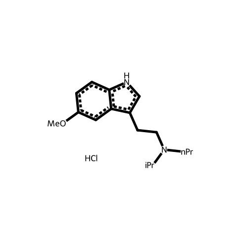 CCCN(CCc1c[nH]c2ccc(OC)cc12)C(C)C.Cl